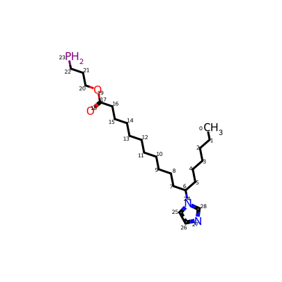 CCCCCCC(CCCCCCCCCCC(=O)OCCCP)n1ccnc1